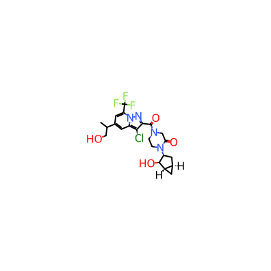 CC(CO)c1cc(C(F)(F)F)n2nc(C(=O)N3CCN([C@H]4C[C@H]5C[C@@H]5[C@H]4O)C(=O)C3)c(Cl)c2c1